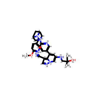 COc1ccc(CN2C3CC2CN(c2ccc(-c4cc(NCC(C)(C)O)cn5ncc(C#N)c45)cn2)C3)cn1